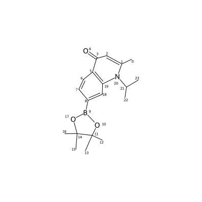 Cc1cc(=O)c2ccc(B3OC(C)(C)C(C)(C)O3)cc2n1C(C)C